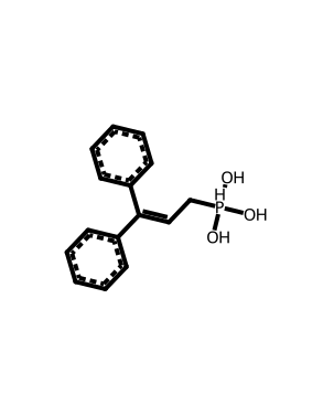 O[PH](O)(O)CC=C(c1ccccc1)c1ccccc1